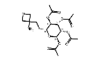 CC(=O)O[C@H]1O[C@H](CCC2(N)COC2)[C@@H](OC(C)=O)[C@H](OC(C)=O)[C@@H]1OC(C)=O